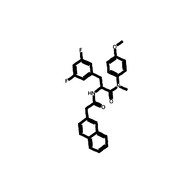 COc1ccc(N(C)C(=O)C(Cc2cc(F)cc(F)c2)NC(=O)Cc2ccc3ccccc3c2)cc1